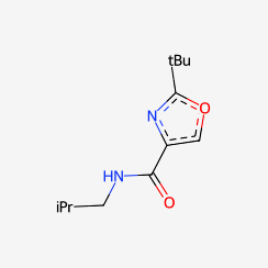 CC(C)CNC(=O)c1coc(C(C)(C)C)n1